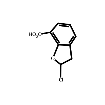 O=C(O)c1cccc2c1OC(Cl)C2